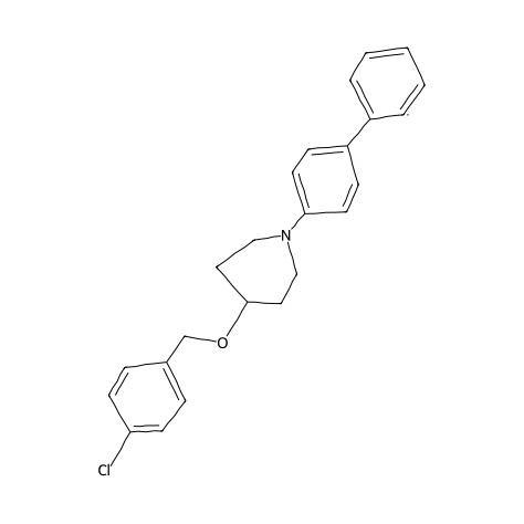 Clc1ccc(COC2CCN(c3ccc(-c4[c]cccc4)cc3)CC2)cc1